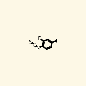 Fc1cc(I)ccc1N=C=S